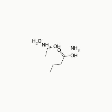 CCCC(=O)O.CCO.N.N.O